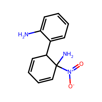 Nc1ccccc1C1C=CC=CC1(N)[N+](=O)[O-]